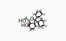 OCC(CO)OC(c1ccccc1)(c1ccccc1)c1ccccc1